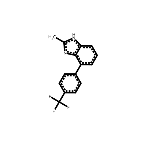 Cc1nc2c(-c3ccc(C(F)(F)F)cc3)[c]ccc2[nH]1